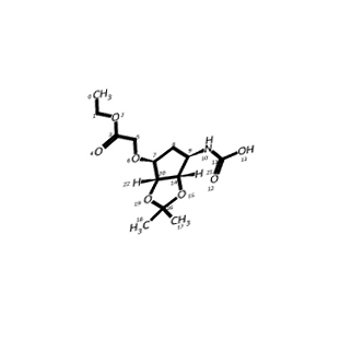 CCOC(=O)CO[C@H]1C[C@@H](NC(=O)O)[C@@H]2OC(C)(C)O[C@@H]21